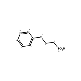 O=S(=O)(O)CCOc1cccnn1